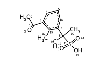 CC(=O)c1cccc(C(C)(C)S(=O)(=O)O)c1C